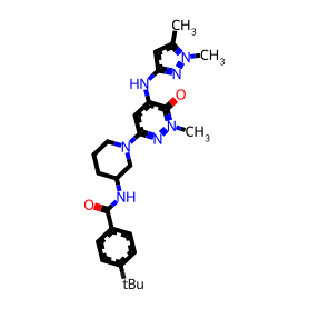 Cc1cc(Nc2cc(N3CCCC(NC(=O)c4ccc(C(C)(C)C)cc4)C3)nn(C)c2=O)nn1C